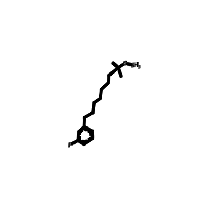 CC(C)(CCCCCCCc1cccc(F)c1)O[SiH3]